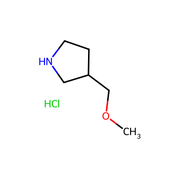 COCC1CCNC1.Cl